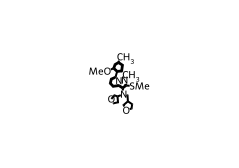 COc1cc(C)cc(C)c1-c1cccc2c(N(CC3CCOC3)C3CCOC3)c(SC)nn12